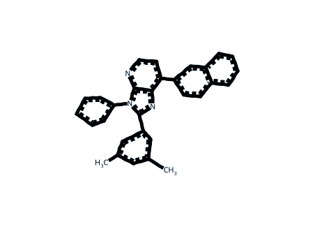 Cc1cc(C)cc(-c2nc3c(-c4ccc5ccccc5c4)ccnc3n2-c2ccccc2)c1